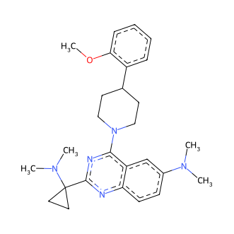 COc1ccccc1C1CCN(c2nc(C3(N(C)C)CC3)nc3ccc(N(C)C)cc23)CC1